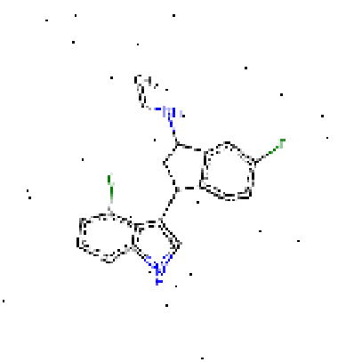 C=CNC1CC(c2c[nH]c3cccc(Cl)c23)c2ccc(F)cc21